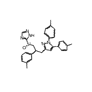 Cc1ccc(-c2cc(CC(C[S+]([O-])c3ncn[nH]3)c3cccc(C)c3)nn2-c2ccc(C)cc2)cc1